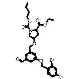 CCCCOC(=O)N1CC(OCc2cc(C=O)cc(OCc3ccc(Cl)cc3Br)c2)CC1C(=O)OCC